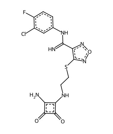 N=C(Nc1ccc(F)c(Cl)c1)c1nonc1SCCNc1c(N)c(=O)c1=O